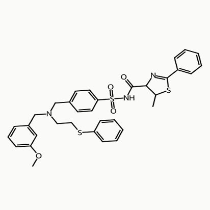 COc1cccc(CN(CCSc2ccccc2)Cc2ccc(S(=O)(=O)NC(=O)C3N=C(c4ccccc4)SC3C)cc2)c1